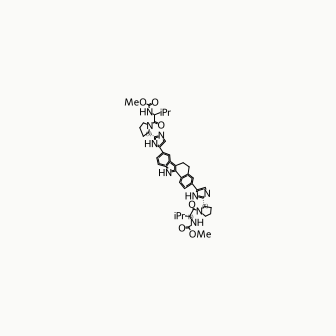 COC(=O)NC(C(=O)N1CCC[C@H]1c1ncc(-c2ccc3[nH]c4c(c3c2)CCc2cc(-c3cnc([C@@H]5CCCN5C(=O)[C@@H](NC(=O)OC)C(C)C)[nH]3)ccc2-4)[nH]1)C(C)C